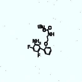 CC(C)(C)OC(=O)NCCOc1ccccc1-c1cc(N)c(F)cc1F